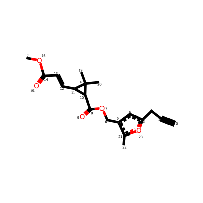 C#CCc1cc(COC(=O)C2C(/C=C/C(=O)OC)C2(C)C)c(C)o1